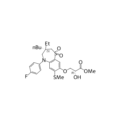 CCCC[C@@]1(CC)CN(c2ccc(F)cc2)c2cc(SC)c(OC[C@@H](O)C(=O)OC)cc2S(=O)(=O)C1